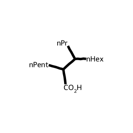 CCCCCCC(CCC)C(CCCCC)C(=O)O